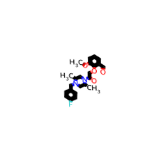 COc1cccc(C=O)c1OCC(=O)N1CC(C)N(Cc2ccc(F)cc2)CC1C